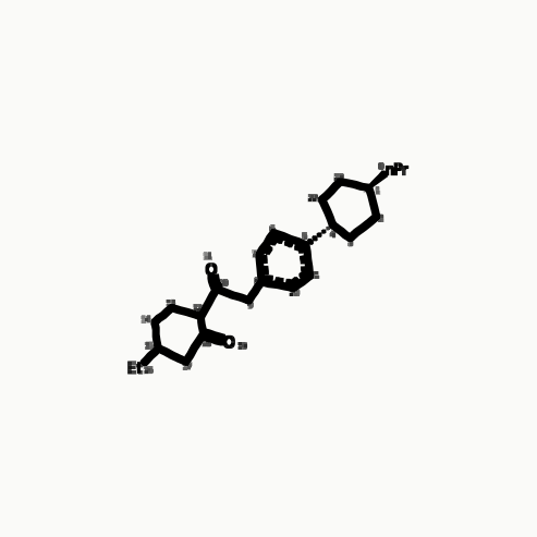 CCC[C@H]1CC[C@H](c2ccc(CC(=O)C3CCC(CC)CC3=O)cc2)CC1